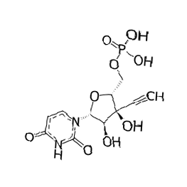 C#C[C@@]1(O)[C@@H](COP(=O)(O)O)O[C@@H](n2ccc(=O)[nH]c2=O)[C@@H]1O